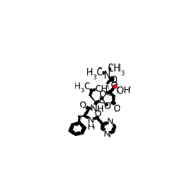 CC(C)C[C@H](NC(=O)[C@H](Cc1ccccc1)NC(=O)c1cnccn1)B1OC(=O)C[C@](CC(=O)N(C)C)(C(=O)O)O1